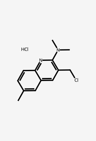 Cc1ccc2nc(N(C)C)c(CCl)cc2c1.Cl